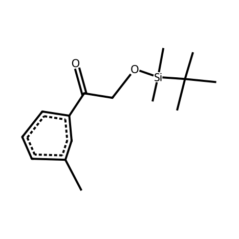 Cc1cccc(C(=O)CO[Si](C)(C)C(C)(C)C)c1